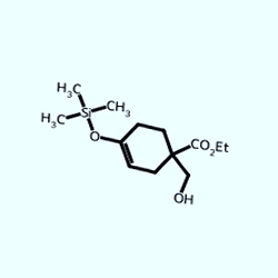 CCOC(=O)C1(CO)CC=C(O[Si](C)(C)C)CC1